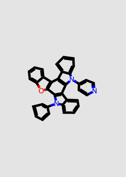 c1ccc(-n2c3ccccc3c3c2c2oc4ccccc4c2c2c4ccccc4n(-c4ccncc4)c23)cc1